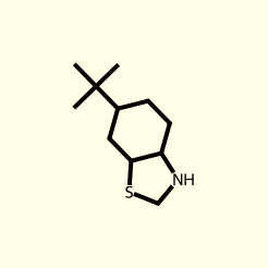 CC(C)(C)C1CCC2NCSC2C1